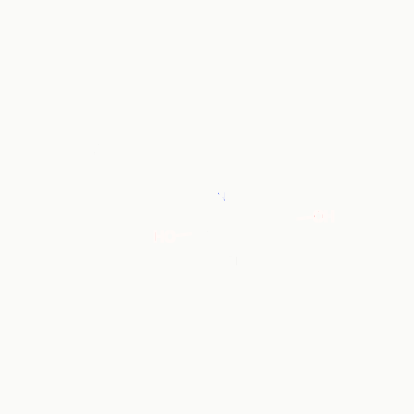 CCCCN(CCO)C(C)O